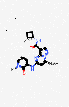 CNc1cc(Nc2cccn(C(C)C)c2=O)nc2c(C(=O)N[C@H]3CC[C@H]3C)cnn12